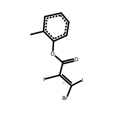 Cc1ccccc1OC(=O)/C(I)=C(/Br)I